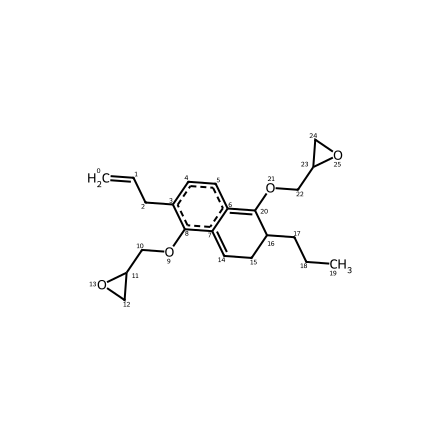 C=CCc1ccc2c(c1OCC1CO1)=CCC(CCC)C=2OCC1CO1